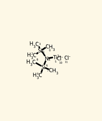 C[Si](C)(C)[N]([Ti+2])[Si](C)(C)C.[Cl-].[Cl-]